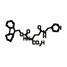 O=C(CC[C@H](NC(=O)OCC1c2ccccc2-c2ccccc21)C(=O)O)NCc1ccncc1